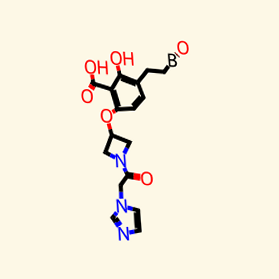 O=BCCc1ccc(OC2CN(C(=O)Cn3ccnc3)C2)c(C(=O)O)c1O